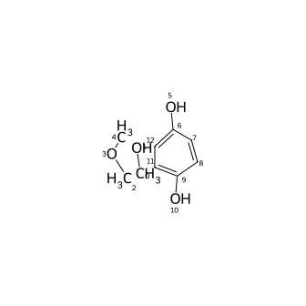 CO.COC.Oc1ccc(O)cc1